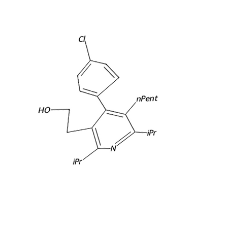 CCCCCc1c(C(C)C)nc(C(C)C)c(CCO)c1-c1ccc(Cl)cc1